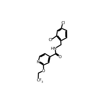 O=C(NCc1ccc(Cl)cc1Cl)c1ccnc(OCC(F)(F)F)c1